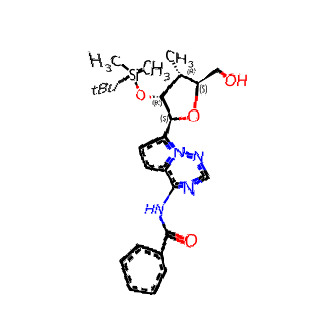 C[C@H]1[C@@H](O[Si](C)(C)C(C)(C)C)[C@H](c2ccc3c(NC(=O)c4ccccc4)ncnn23)O[C@@H]1CO